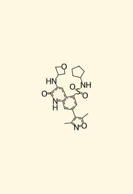 Cc1noc(C)c1-c1cc(S(=O)(=O)NC2CCCC2)c2cc(NC3COC3)c(=O)[nH]c2c1